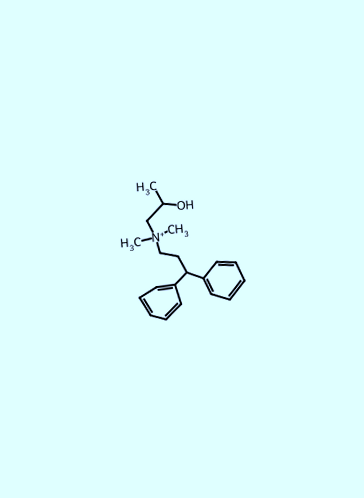 CC(O)C[N+](C)(C)CCC(c1ccccc1)c1ccccc1